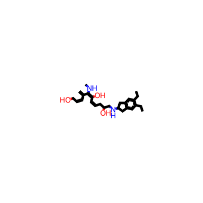 C=C(/C=C\CO)/C(NC)=C(O)\C=C/CC(O)CNC1Cc2cc(CC)c(CC)cc2C1